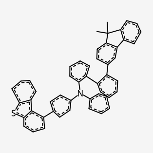 CC1(C)c2ccccc2-c2cc(-c3ccccc3-c3ccccc3N(c3ccccc3)c3ccc(-c4cccc5sc6ccccc6c45)cc3)ccc21